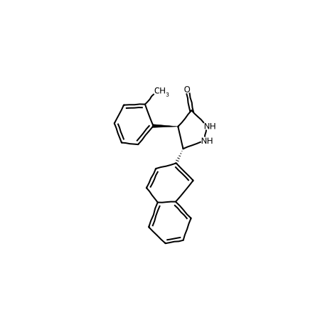 Cc1ccccc1[C@H]1C(=O)NN[C@@H]1c1ccc2ccccc2c1